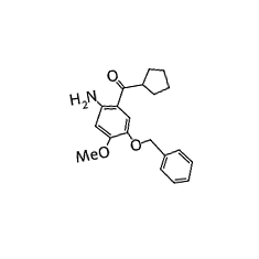 COc1cc(N)c(C(=O)C2CCCC2)cc1OCc1ccccc1